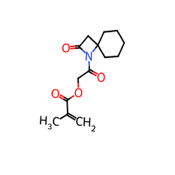 C=C(C)C(=O)OCC(=O)N1C(=O)CC12CCCCC2